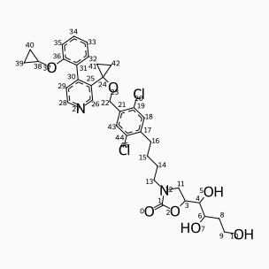 O=C1OC(C(O)C(O)CCO)CN1CCCCc1cc(Cl)c(COC2(c3cnccc3-c3ccccc3OC3CC3)CC2)cc1Cl